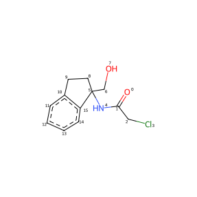 O=C(CCl)NC1(CO)CCc2ccccc21